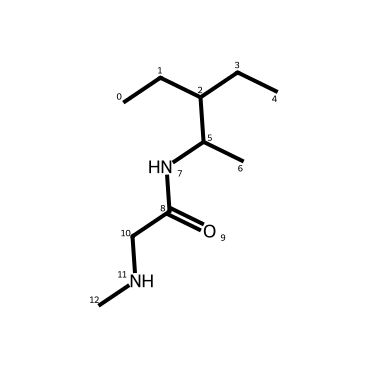 CCC(CC)C(C)NC(=O)CNC